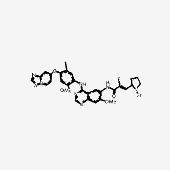 CCN1CCCC1C=C(F)C(=O)Nc1cc2c(Nc3cc(C)c(Oc4ccn5ncnc5c4)cc3OC)ncnc2cc1OC